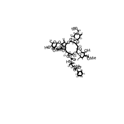 CO/N=C1\C[C@@H](C)O[C@@H](O[C@@H]2[C@@H](C)[C@H](O[C@H]3CC(C)N(CC(C)(C)C)C[C@H](C)O3)[C@@H](C)C(=O)O[C@H](C(C)CO[C@@H]3O[C@H](C)[C@@H](O)[C@@H](OC)[C@H]3OC)[C@H](C)[C@@H](OC(=O)CC(C)C)[C@@H](C)C(=O)[C@@](C)(OC(=O)NC(C)(C)CNS(=O)(=O)c3ccccc3)C[C@@H]2C)[C@@H]1O